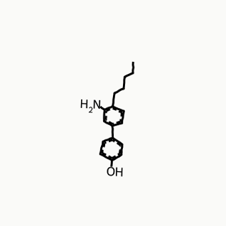 CCCCCc1ccc(-c2ccc(O)cc2)cc1N